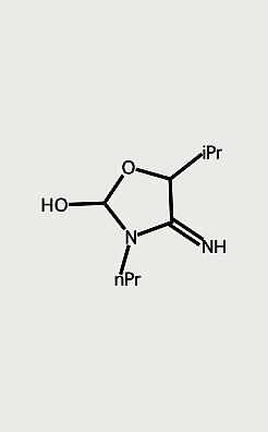 CCCN1C(=N)C(C(C)C)OC1O